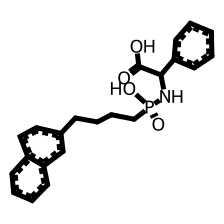 O=C(O)C(NP(=O)(O)CCCCc1ccc2ccccc2c1)c1ccccc1